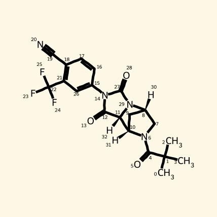 CC(C)(C)C(=O)N1C[C@@H]2C[C@H]1[C@@H]1C(=O)N(c3ccc(C#N)c(C(F)(F)F)c3)C(=O)N21